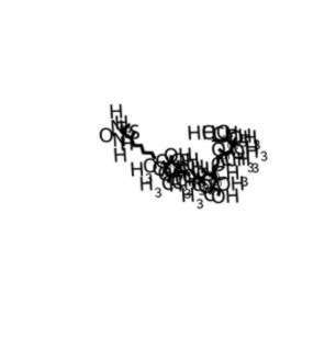 CC(=O)NC1[C@@](C)(COC[C@]2(C)C(C)(C)O[C@](C)(OC(=O)CCCCC3SC[C@@H]4NC(=O)N[C@H]34)C(O)[C@@]2(C)O)OC(C)(CO)[C@@H](O)[C@@]1(C)COC[C@]1(C)OC(C)(CO)[C@](C)(O)[C@@](C)(O)C1(C)O